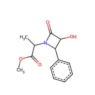 COC(=O)C(C)N1C(=O)C(O)C1c1ccccc1